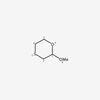 COC1CSCCO1